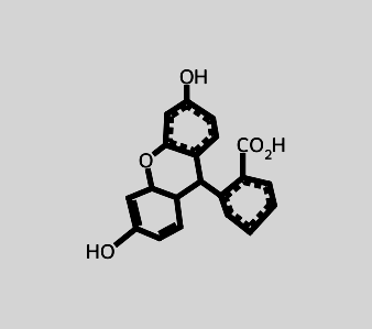 O=C(O)c1ccccc1C1c2ccc(O)cc2OC2C=C(O)C=CC21